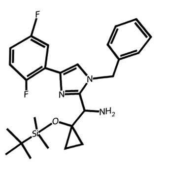 CC(C)(C)[Si](C)(C)OC1(C(N)c2nc(-c3cc(F)ccc3F)cn2Cc2ccccc2)CC1